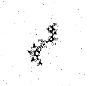 CC(=O)OCC1O[C@@H](OP(=O)(O)OP(=O)(O)OC[C@H]2O[C@@H](n3cnc4c(N)ncnc43)[C@@H](O)[C@H]2O)C(OC(C)=O)C(OC(C)=O)[C@@H]1OC(C)=O